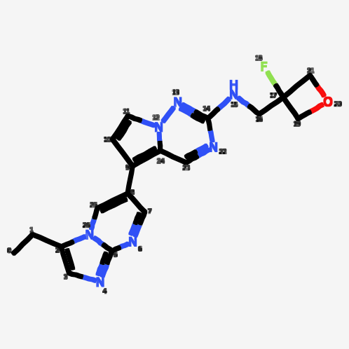 CCc1cnc2ncc(-c3ccn4nc(NCC5(F)COC5)ncc34)cn12